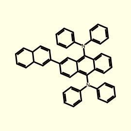 C1=CC2C=CC(c3ccc4c(N(c5ccccc5)c5ccccc5)c5ccccc5c(N(c5ccccc5)c5ccccc5)c4c3)=CC2C=C1